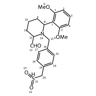 COc1cccc(OC)c1C1CCCC(C=O)N1Cc1ccc(C[SH](=O)=O)cc1